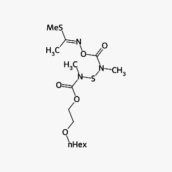 CCCCCCOCCOC(=O)N(C)SN(C)C(=O)ON=C(C)SC